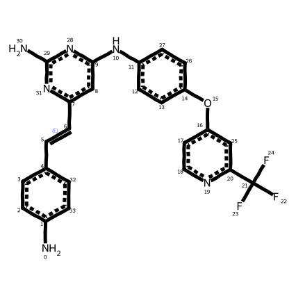 Nc1ccc(/C=C/c2cc(Nc3ccc(Oc4ccnc(C(F)(F)F)c4)cc3)nc(N)n2)cc1